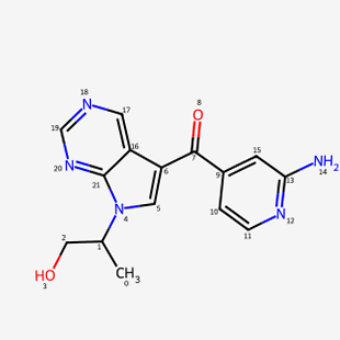 CC(CO)n1cc(C(=O)c2ccnc(N)c2)c2cncnc21